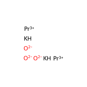 [KH].[KH].[O-2].[O-2].[O-2].[Pr+3].[Pr+3]